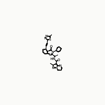 Cc1nnc(C#Cc2cccc3nc([C@@H](C)NC(=O)c4c(C)nn5cccnc45)n(-c4ccccc4)c(=O)c23)s1